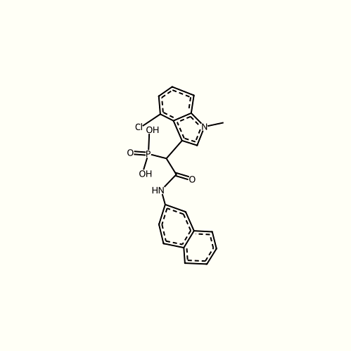 Cn1cc(C(C(=O)Nc2ccc3ccccc3c2)P(=O)(O)O)c2c(Cl)cccc21